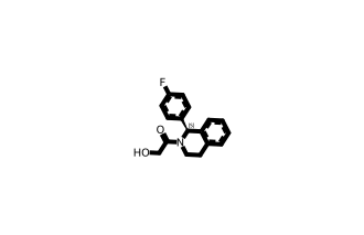 O=C(CO)N1CCc2ccccc2[C@@H]1c1ccc(F)cc1